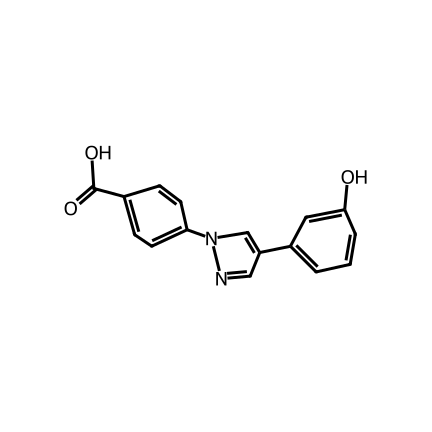 O=C(O)c1ccc(-n2cc(-c3cccc(O)c3)cn2)cc1